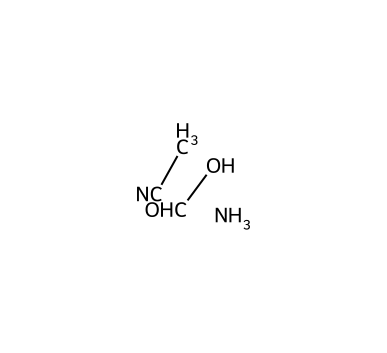 CC#N.N.O=CO